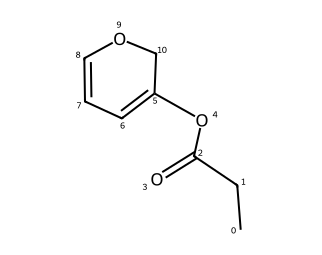 CCC(=O)OC1=CC=COC1